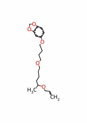 C=CCOC(C)CCCCOCCCCOc1ccc2c(c1)OCO2